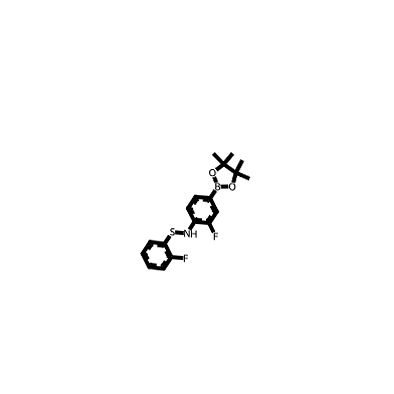 CC1(C)OB(c2ccc(NSc3ccccc3F)c(F)c2)OC1(C)C